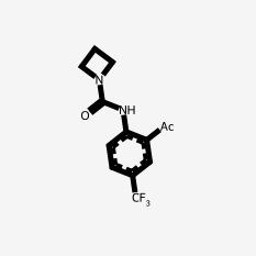 CC(=O)c1cc(C(F)(F)F)ccc1NC(=O)N1CCC1